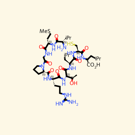 CSCC[C@H](NC(=O)[C@@H](N)C(C)C)C(=O)NCC(=O)N1CCC[C@H]1C(=O)N[C@@H](CCCNC(=N)N)C(=O)N[C@H](C(=O)N[C@@H](CC(C)C)C(=O)N[C@@H](CS)C(=O)N[C@@H](CC(C)C)C(=O)O)[C@@H](C)O